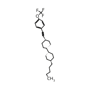 CCCCC[C@H]1CC[C@H]([C@H]2CC[C@H](C#Cc3ccc(OC(F)(F)F)cc3)CC2)CC1